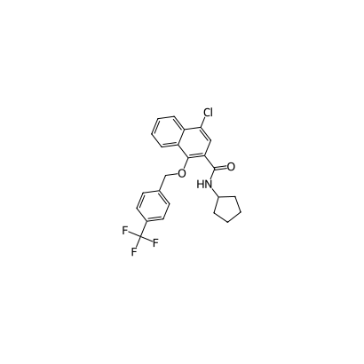 O=C(NC1CCCC1)c1cc(Cl)c2ccccc2c1OCc1ccc(C(F)(F)F)cc1